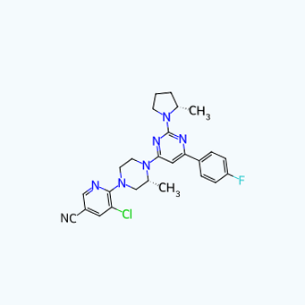 C[C@@H]1CN(c2ncc(C#N)cc2Cl)CCN1c1cc(-c2ccc(F)cc2)nc(N2CCC[C@@H]2C)n1